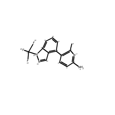 Cc1nc(N)ccc1-c1cccc2c1cnn2C(F)(F)F